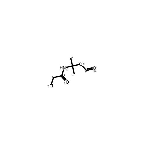 CC(C)(NC(=O)CCl)OC=O